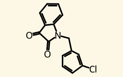 O=C1C(=O)N(Cc2cccc(Cl)c2)c2ccccc21